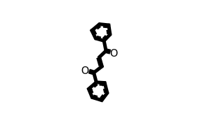 O=C(C=CC(=O)c1ccccc1)c1ccccc1